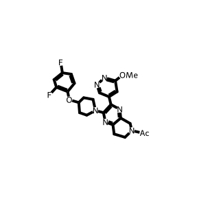 COc1cc(-c2nc3c(nc2N2CCC(Oc4ccc(F)cc4F)CC2)CCN(C(C)=O)C3)cnn1